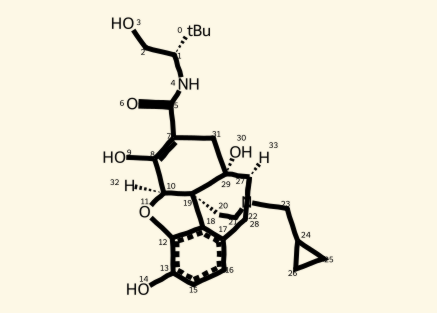 CC(C)(C)[C@@H](CO)NC(=O)C1=C(O)[C@@H]2Oc3c(O)ccc4c3[C@@]23CCN(CC2CC2)[C@H](C4)[C@]3(O)C1